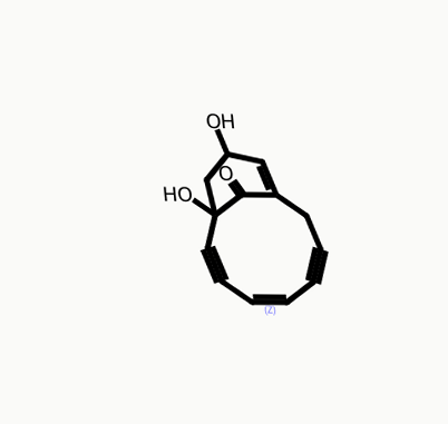 O=C1C2=CC(O)CC1(O)C#C/C=C\C#CC2